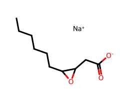 CCCCCCC1OC1CC(=O)[O-].[Na+]